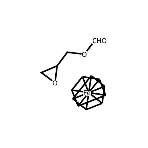 O=COCC1CO1.[CH]12[CH]3[CH]4[CH]5[CH]1[Fe]23451678[CH]2[CH]1[CH]6[CH]7[CH]28